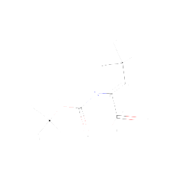 CC(C)(C)/C=C(\NC(=O)OC(C)(C)C)C(=O)O